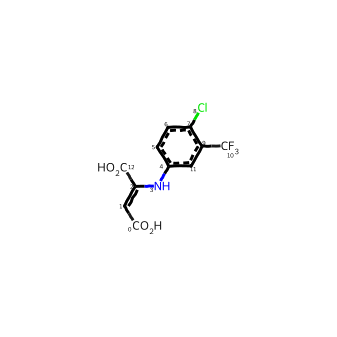 O=C(O)/C=C(\Nc1ccc(Cl)c(C(F)(F)F)c1)C(=O)O